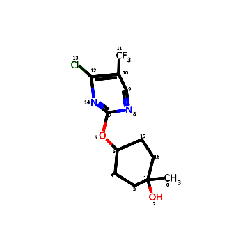 CC1(O)CCC(Oc2ncc(C(F)(F)F)c(Cl)n2)CC1